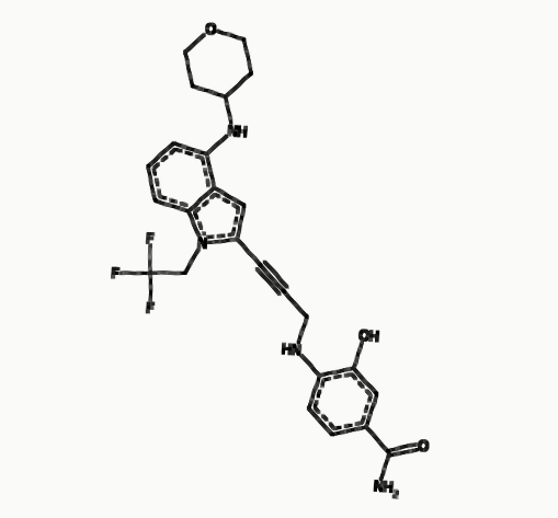 NC(=O)c1ccc(NCC#Cc2cc3c(NC4CCOCC4)cccc3n2CC(F)(F)F)c(O)c1